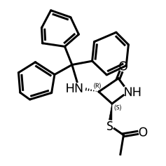 CC(=O)S[C@@H]1NC(=O)[C@H]1NC(c1ccccc1)(c1ccccc1)c1ccccc1